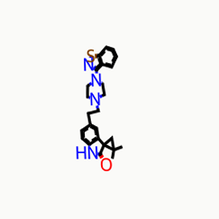 CC1(C)CC12C(=O)Nc1ccc(CCN3CCN(c4nsc5ccccc45)CC3)cc12